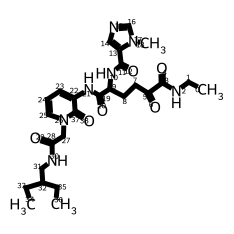 CCNC(=O)C(=O)CCC(NC(=O)c1cncn1C)C(=O)Nc1cccn(CC(=O)NCC(CC)CC)c1=O